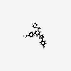 O=C(N1CCOCC1)N1CC(c2ccc(C(F)(F)F)cc2)CC(n2ccc(-c3ccc(F)cc3)n2)C1